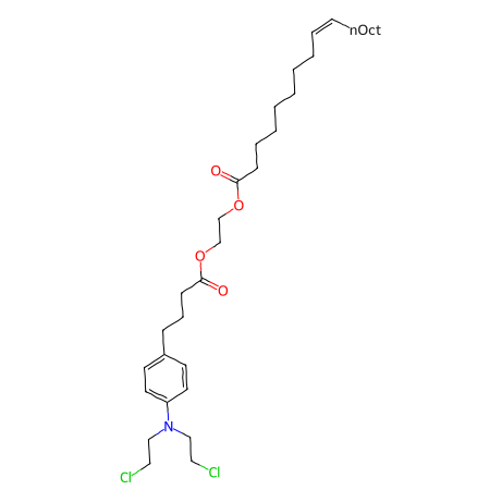 CCCCCCCC/C=C\CCCCCCCC(=O)OCCOC(=O)CCCc1ccc(N(CCCl)CCCl)cc1